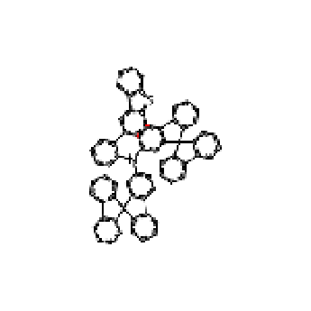 c1ccc(N(c2ccc3c(c2)C2(c4ccccc4-c4ccccc42)c2ccccc2-3)c2ccc3c(c2)C2(c4ccccc4-c4ccccc42)c2ccccc2-3)c(-c2ccc3sc4ccccc4c3c2)c1